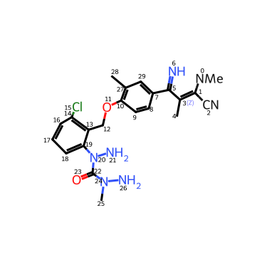 CN/C(C#N)=C(/C)C(=N)c1ccc(OCc2c(Cl)cccc2N(N)C(=O)N(C)N)c(C)c1